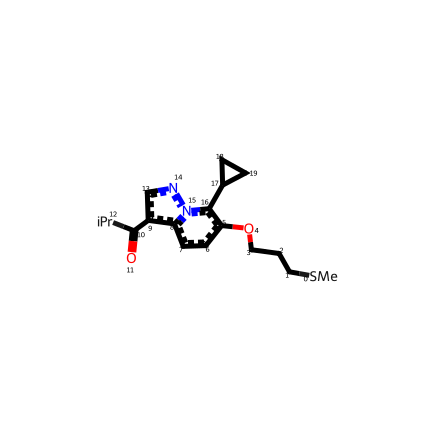 CSCCCOc1ccc2c(C(=O)C(C)C)cnn2c1C1CC1